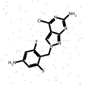 Nc1cc(F)c(Cn2cc3c(Cl)nc(N)nc3n2)c(F)c1